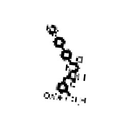 COc1ccc(C=C2C(=O)Nc3cc(Cl)c(-c4ccc(-c5ccc(-n6cncn6)cc5)cc4)nc32)cc1CC(=O)O